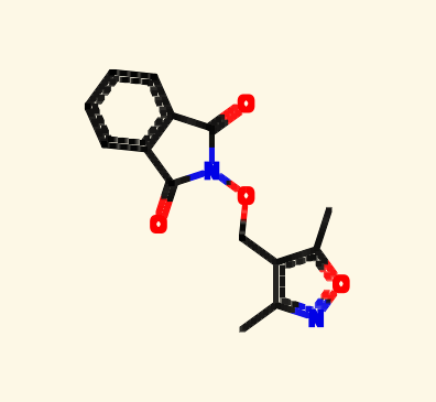 Cc1noc(C)c1CON1C(=O)c2ccccc2C1=O